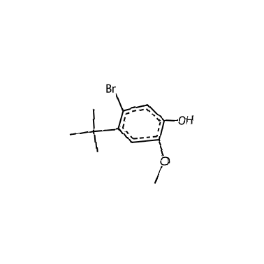 COc1cc(C(C)(C)C)c(Br)cc1O